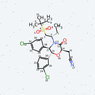 CC[C@@H](CS(=O)(=O)C(C)(C)C)N1C(=O)[C@@H](CC#N)O[C@H](c2cccc(Cl)c2)[C@H]1c1ccc(Cl)cc1